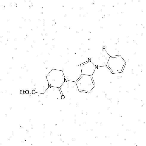 CCOC(=O)CN1CCCN(c2cccc3c2cnn3-c2ccccc2F)C1=O